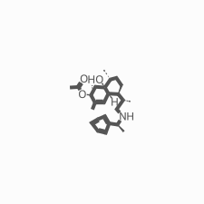 CC(=O)O[C@@H]1[C][C@@]2(O)[C@H](C)CC[C@@H]([C@H](C)CN[C@@H](C)c3ccccc3)[C@H]2C=C1C